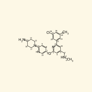 CNCc1cc(Oc2ccc(N3CCC(N)CC3)nc2)nc(-c2cc(C)cc(Cl)c2)c1